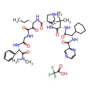 CCC[C@H](NC(=O)[C@@H]1CNC[C@@H]1NC(=O)[C@@H](NC(=O)[C@@H](NC(=O)c1cnccn1)C1CCCCC1)C(C)(C)C)C(=O)C(=O)NCC(=O)N[C@H](C(=O)N(C)C)c1ccccc1.O=C(O)C(F)(F)F